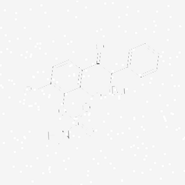 CCC(C)C(C(=O)c1ccc(C(C)C)c(OS(N)(=O)=O)c1C(C)C)c1ccccc1